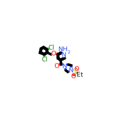 CCS(=O)(=O)N1CCN(C(=O)c2cnc(N)c(OCc3c(Cl)cccc3Cl)c2)CC1